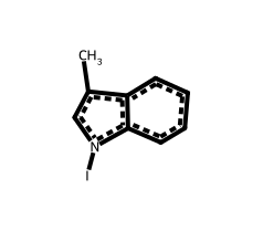 Cc1cn(I)c2ccccc12